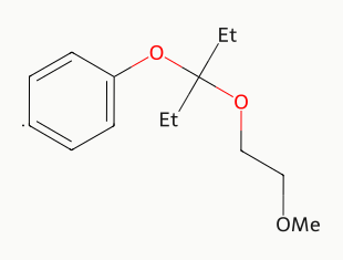 CCC(CC)(OCCOC)Oc1cc[c]cc1